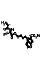 CCOC(=O)c1cc2occc2n1COCCOC(=O)[C@H](NC(=O)CN)C(C)C